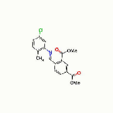 COC(=O)c1ccc(/C=N/c2cc(Cl)ccc2C)c(C(=O)OC)c1